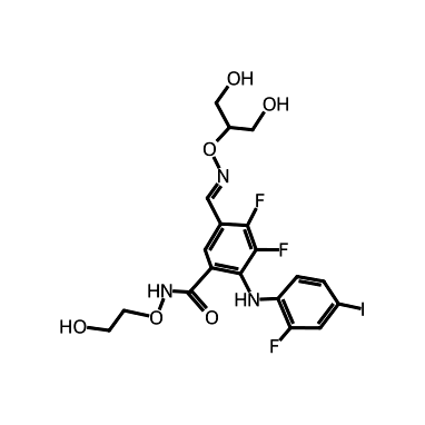 O=C(NOCCO)c1cc(C=NOC(CO)CO)c(F)c(F)c1Nc1ccc(I)cc1F